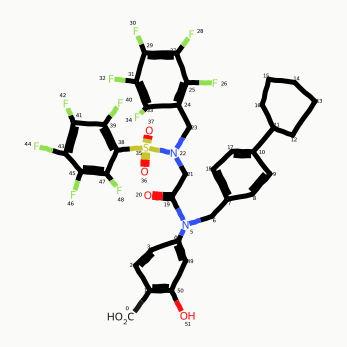 O=C(O)c1ccc(N(Cc2ccc(C3CCCCC3)cc2)C(=O)CN(Cc2c(F)c(F)c(F)c(F)c2F)S(=O)(=O)c2c(F)c(F)c(F)c(F)c2F)cc1O